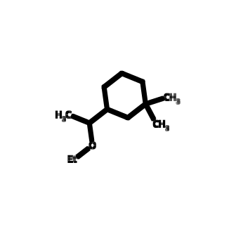 CCOC(C)C1CCCC(C)(C)C1